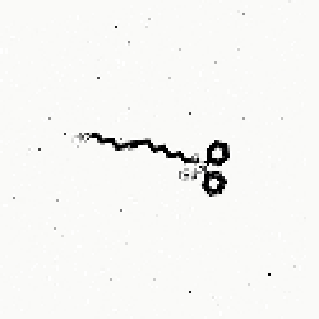 CC(C)(C)[Si](OCCCCCCC#CCCCCO)(c1ccccc1)c1ccccc1